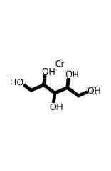 OCC(O)C(O)C(O)CO.[Cr]